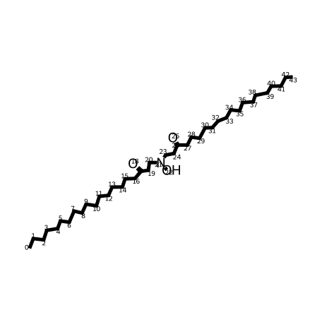 CCCCCCCCCCCCCCCCCC(=O)CCN(O)CCC(=O)CCCCCCCCCCCCCCCCC